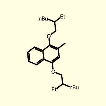 CCCCC(CC)COc1cc(C)c(OCC(CC)CCCC)c2ccccc12